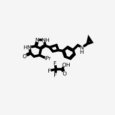 CC(C)C1CC(=O)Nc2n[nH]c(C3CC(c4cccc(CNC5CC5)c4)C3)c21.O=C(O)C(F)(F)F